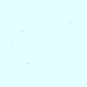 C/C=C/CC(CCC(C)C)(COC)COC